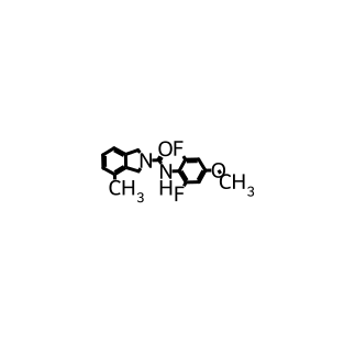 COc1cc(F)c(NC(=O)N2Cc3cccc(C)c3C2)c(F)c1